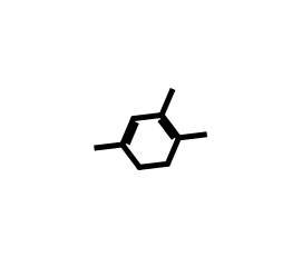 CC1=CC(C)=C(C)CC1